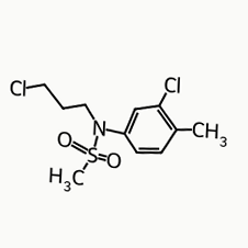 Cc1ccc(N(CCCCl)S(C)(=O)=O)cc1Cl